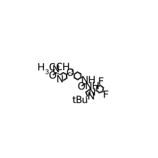 CN(C)C(=O)c1cc(Oc2ccc(NC(=O)Nc3cc(C(C)(C)C)nn3-c3cc(F)cc(F)c3)cc2)ccn1